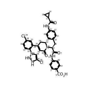 O=C(O)c1ccc(NC(=O)[C@H](Cc2ccc(NC(=O)C3CC3)cc2)N2CCC(c3cc(Cl)ccc3N3C=C(Cl)NN3)=CC2=O)cc1